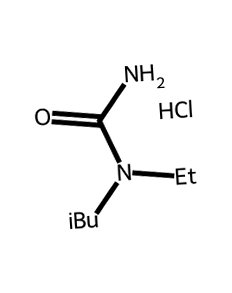 CCC(C)N(CC)C(N)=O.Cl